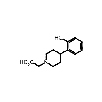 O=C(O)CN1CCC(c2ccccc2O)CC1